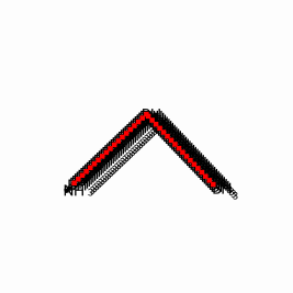 B.B.B.B.B.B.B.B.B.B.B.B.B.B.B.B.B.B.B.B.B.B.B.B.B.B.B.B.B.B.B.B.B.B.B.B.B.B.B.B.B.B.B.B.B.B.B.B.B.B.B.B.B.B.B.B.B.B.B.B.B.B.B.B.B.B.B.B.B.B.B.B.B.B.B.CNC